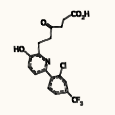 O=C(O)CCC(=O)CCc1nc(-c2ccc(C(F)(F)F)cc2Cl)ccc1O